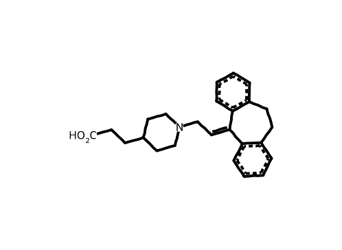 O=C(O)CCC1CCN(CC=C2c3ccccc3CCc3ccccc32)CC1